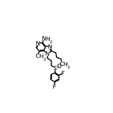 CCCCc1nc2c(N)ncc(C)c2n1CCC[S+]([O-])c1ccc(F)cc1F